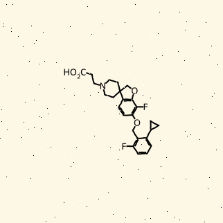 O=C(O)CCN1CCC2(CC1)COc1c2ccc(OCc2c(F)cccc2C2CC2)c1F